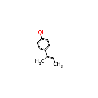 CC=C(C)c1ccc(O)cc1